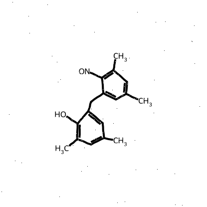 Cc1cc(C)c(O)c(Cc2cc(C)cc(C)c2N=O)c1